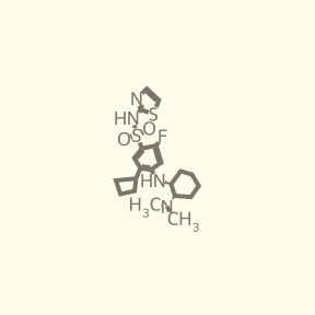 CN(C)[C@H]1CCCC[C@@H]1Nc1cc(F)c(S(=O)(=O)Nc2nccs2)cc1C1CCC1